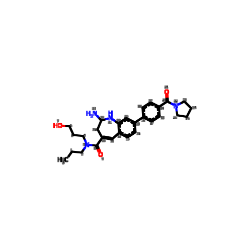 CCCN(CCCO)C(=O)C1=Cc2ccc(-c3ccc(C(=O)N4CCCC4)cc3)cc2NC(N)C1